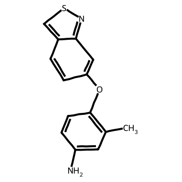 Cc1cc(N)ccc1Oc1ccc2csnc2c1